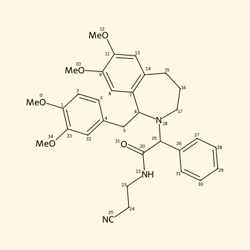 COc1ccc(CC2c3cc(OC)c(OC)cc3CCCN2C(C(=O)NCCC#N)c2ccccc2)cc1OC